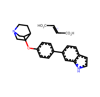 O=C(O)/C=C/C(=O)O.c1cc2ccc(-c3ccc(OC4CN5CCC4CC5)cc3)cc2[nH]1